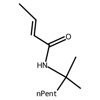 CC=CC(=O)NC(C)(C)CCCCC